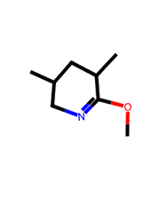 COC1=NCC(C)CC1C